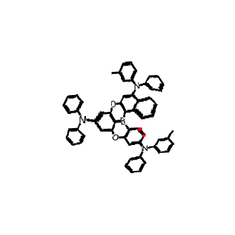 Cc1cccc(N(c2ccccc2)c2cc3c(c4ccccc24)B2c4c(cc(N(c5ccccc5)c5ccccc5)cc4Oc4cc(N(c5ccccc5)c5cccc(C)c5)c5ccccc5c42)O3)c1